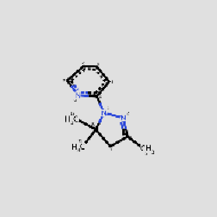 CC1=NN(c2ccccn2)C(C)(C)C1